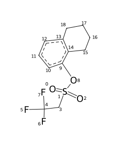 O=S(=O)(CC(F)(F)F)Oc1cccc2c1CCCC2